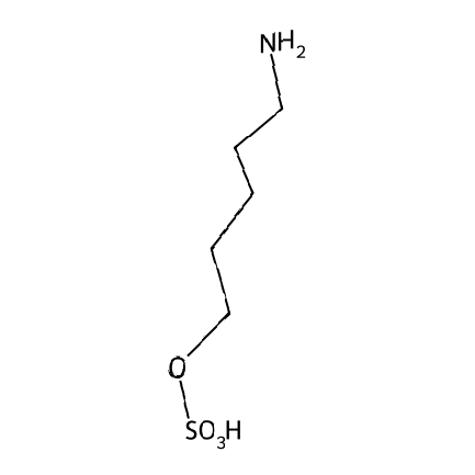 NCCCCCOS(=O)(=O)O